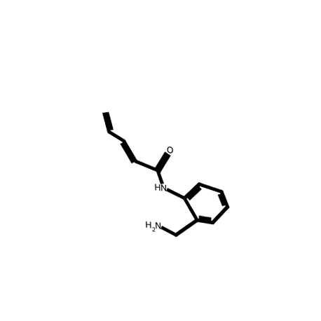 C=CC=CC(=O)Nc1ccccc1CN